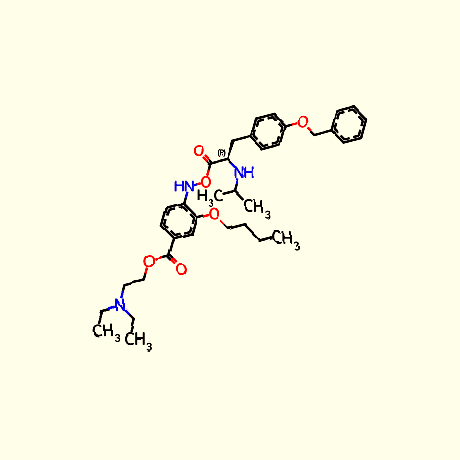 CCCCOc1cc(C(=O)OCCN(CC)CC)ccc1NOC(=O)[C@@H](Cc1ccc(OCc2ccccc2)cc1)NC(C)C